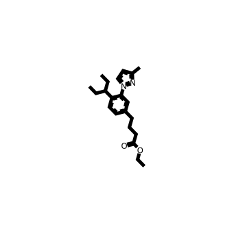 CCOC(=O)CCCc1ccc(C(CC)CC)c(-n2ccc(C)n2)c1